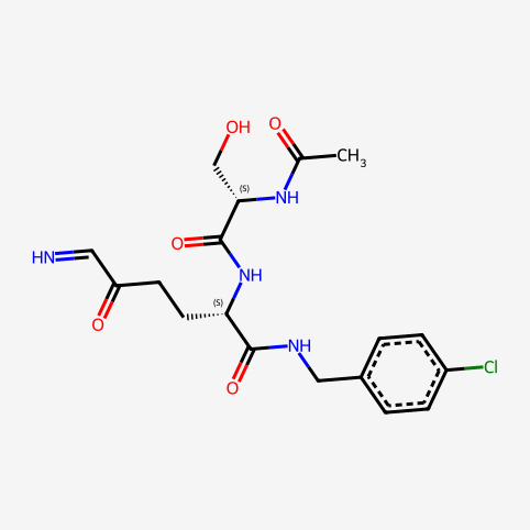 CC(=O)N[C@@H](CO)C(=O)N[C@@H](CCC(=O)C=N)C(=O)NCc1ccc(Cl)cc1